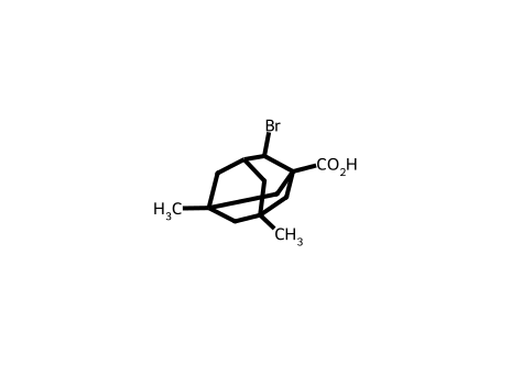 CC12CC3CC(C)(C1)CC(C(=O)O)(C2)C3Br